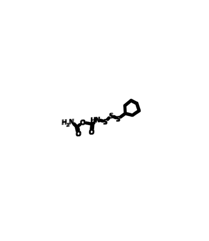 NC(=O)OC(=O)NSSSC1CCCCC1